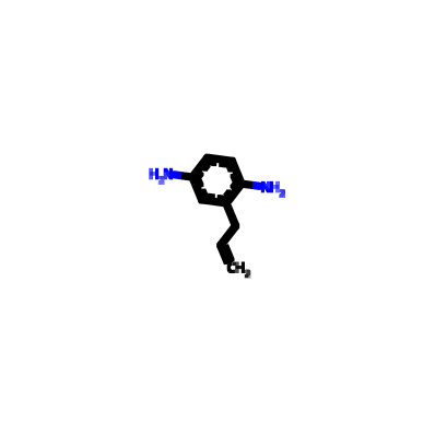 C=CCc1cc(N)ccc1N